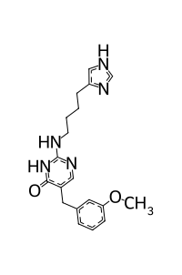 COc1cccc(Cc2cnc(NCCCCc3c[nH]cn3)[nH]c2=O)c1